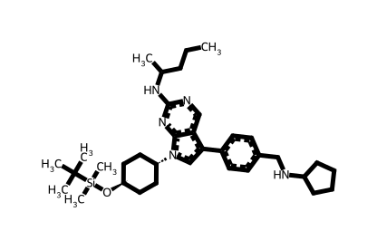 CCCC(C)Nc1ncc2c(-c3ccc(CNC4CCCC4)cc3)cn([C@H]3CC[C@H](O[Si](C)(C)C(C)(C)C)CC3)c2n1